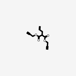 C#CCOC(=O)C(CC=C)C(=O)OCC#C